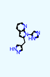 c1cnc2c(c1)cc(Cc1cn[nH]c1)n2-c1cnc[nH]1